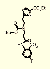 CCOC(=O)c1csc(CCN(CCC(=O)Nc2ccc(F)cc2[N+](=O)[O-])C(=O)OC(C)(C)C)n1